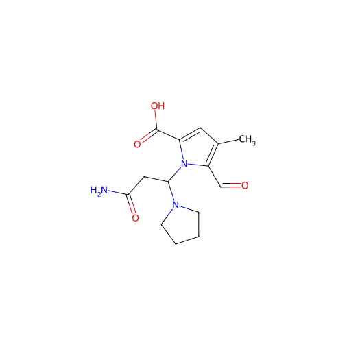 Cc1cc(C(=O)O)n(C(CC(N)=O)N2CCCC2)c1C=O